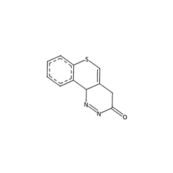 O=C1CC2=CSc3ccccc3C2N=N1